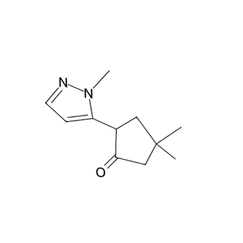 Cn1nccc1C1CC(C)(C)CC1=O